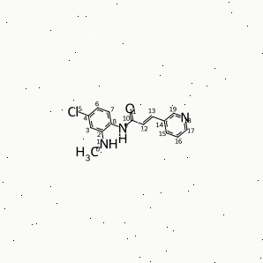 CNc1cc(Cl)ccc1NC(=O)/C=C/c1cccnc1